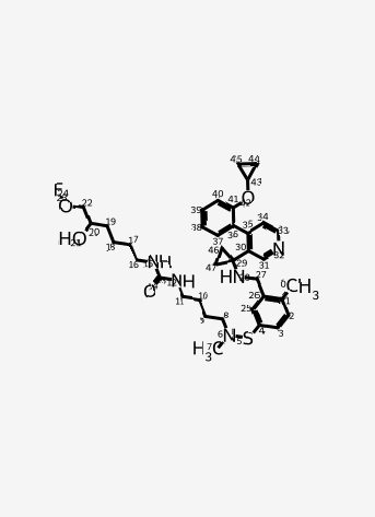 Cc1ccc(SN(C)CCCCNC(=O)NCCCCC(O)COF)cc1CNC1(c2cnccc2-c2ccccc2OC2CC2)CC1